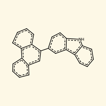 c1ccc2c(c1)cc(-c1ccc3[nH]c4ccccc4c3c1)c1ccccc12